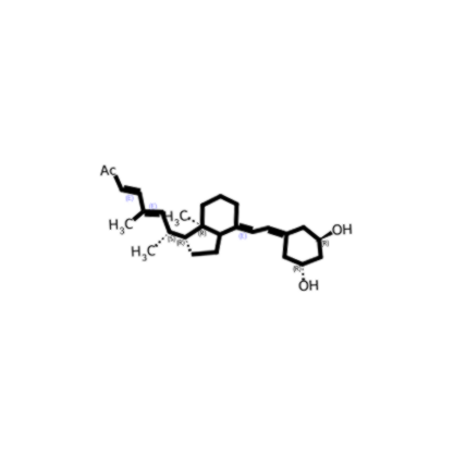 CC(=O)/C=C/C(C)=C/[C@@H](C)[C@H]1CCC2/C(=C/C=C3C[C@@H](O)C[C@H](O)C3)CCC[C@@]21C